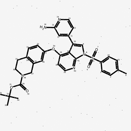 Cc1ccc(S(=O)(=O)n2cc(-c3ccnc(N)c3)c3c(Oc4ccc5c(c4)CN(C(=O)OC(C)(C)C)CC5)ccnc32)cc1